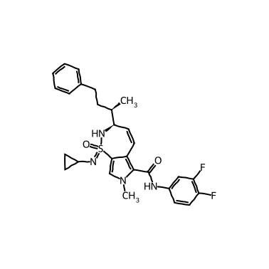 C[C@H](CCc1ccccc1)[C@H]1C=Cc2c(cn(C)c2C(=O)Nc2ccc(F)c(F)c2)S(=O)(=NC2CC2)N1